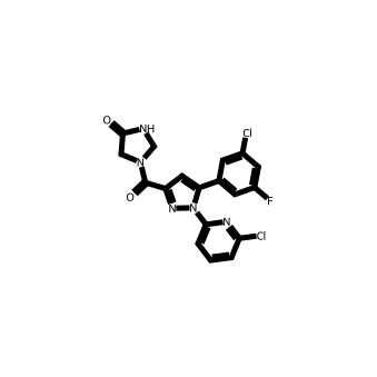 O=C1CN(C(=O)c2cc(-c3cc(F)cc(Cl)c3)n(-c3cccc(Cl)n3)n2)CN1